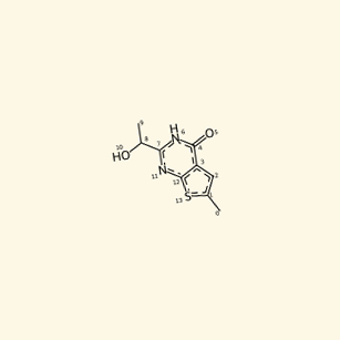 Cc1cc2c(=O)[nH]c(C(C)O)nc2s1